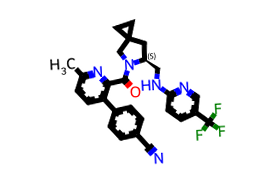 Cc1ccc(-c2ccc(C#N)cc2)c(C(=O)N2CC3(CC3)C[C@H]2CNc2ccc(C(F)(F)F)cn2)n1